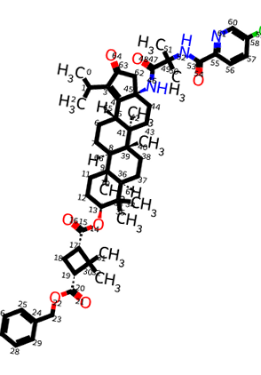 CC(C)C1=C2[C@H]3CC[C@@H]4[C@@]5(C)CC[C@H](OC(=O)[C@H]6C[C@@H](C(=O)OCc7ccccc7)C6(C)C)C(C)(C)[C@@H]5CC[C@@]4(C)[C@]3(C)CC[C@@]2(NC(=O)C(C)(C)NC(=O)c2ccc(Cl)cn2)CC1=O